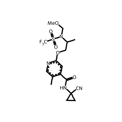 COCN(C(C)COc1cc(C(=O)NC2(C#N)CC2)c(C)cn1)S(=O)(=O)C(F)(F)F